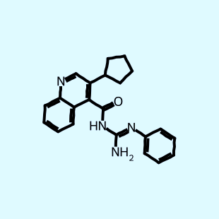 NC(=Nc1ccccc1)NC(=O)c1c(C2CCCC2)cnc2ccccc12